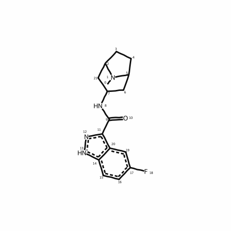 CN1C2CCC1CC(NC(=O)c1n[nH]c3ccc(F)cc13)C2